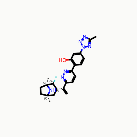 C=C(c1ccc(-c2ccc(-n3nnc(C)n3)cc2O)nn1)[C@@H]1C[C@@]2(C)CC[C@](C)(N2)[C@H]1F